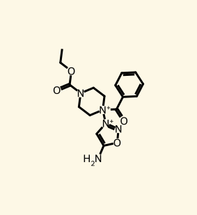 CCOC(=O)N1CC[N+](C(=O)c2ccccc2)([n+]2cc(N)on2)CC1